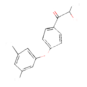 O=C(c1ccc(Oc2cc(C(F)(F)F)cc(C(F)(F)F)c2)cc1)C(O)S(=O)(=O)O